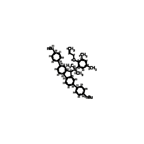 C=CCOc1c(C)cc(C)cc1[Si](C)(C)C1c2cc(-c3ccc(CCCC)cc3)ccc2-c2ccc(-c3ccc(CCCC)cc3)cc21